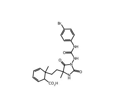 CC1(CCC2(C)C=CC=CC2C(=O)O)NC(=O)N(NC(=O)Nc2ccc(Br)cc2)C1=O